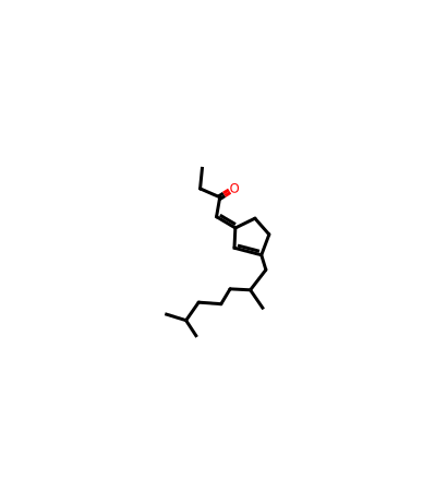 CCC(=O)/C=C1/C=C(CC(C)CCCC(C)C)CC1